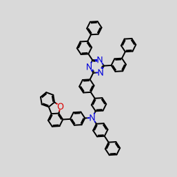 c1ccc(-c2ccc(N(c3ccc(-c4cccc5c4oc4ccccc45)cc3)c3cccc(-c4cccc(-c5nc(-c6cccc(-c7ccccc7)c6)nc(-c6cccc(-c7ccccc7)c6)n5)c4)c3)cc2)cc1